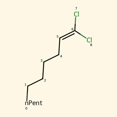 C[CH]CCCCCCCC=C(Cl)Cl